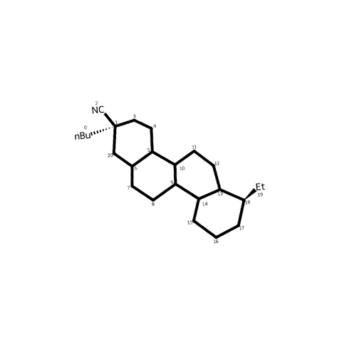 CCCC[C@]1(C#N)CCC2C(CCC3C2CCC2C3CCC[C@@H]2CC)C1